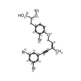 CCOC(Cc1ccc(OCC=C(C)C#Cc2cc(Br)cc(Br)c2)c(Br)c1)C(=O)O